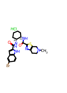 CN1CCc2nc(C(=O)N[C@H]3CCCC[C@H]3NC(=O)c3cc4cc(Br)ccc4[nH]3)sc2C1.Cl